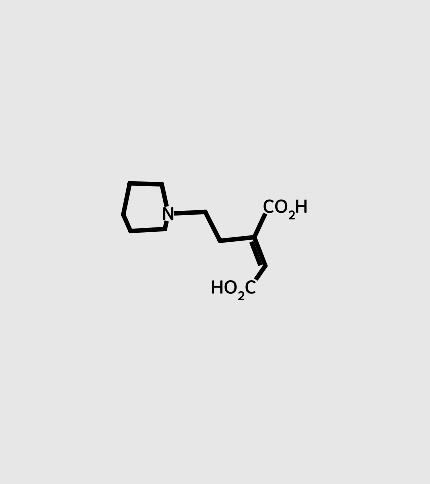 O=C(O)/C=C(\CCN1CCCCC1)C(=O)O